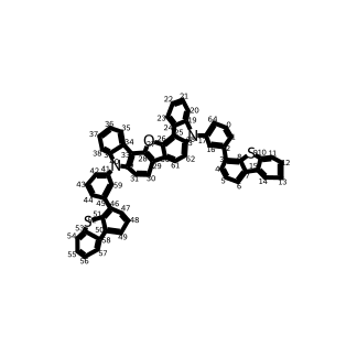 c1cc(-c2cccc3c2sc2ccccc23)cc(-n2c3ccccc3c3c4oc5c(ccc6c5c5ccccc5n6-c5cccc(-c6cccc7c6sc6ccccc67)c5)c4ccc32)c1